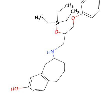 CC[Si](CC)(CC)OC(CNC1CCCc2ccc(O)cc2C1)COc1ccccc1